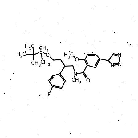 COc1ccc(C2C=NN=N2)cc1C(=O)N(C)CC(CCO[Si](C)(C)C(C)(C)C)c1ccc(F)cc1